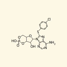 Nc1ncnc2c1nc(Sc1ccc(Cl)cc1)n2C1OC2COP(=O)(O)OC2C1O